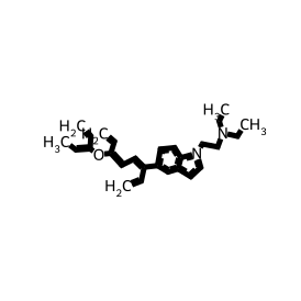 C=C/C(=C\C)O/C(C=C)=C/C=C(\C=C)c1ccc2c(ccn2CCN(CC)CC)c1